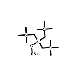 CCCC[O][Zr]([CH2][Si](C)(C)C)([CH2][Si](C)(C)C)[CH2][Si](C)(C)C